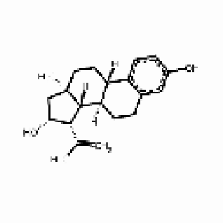 C=C(C)[C@H]1[C@H]2[C@@H]3CCc4cc(O)ccc4[C@H]3CC[C@]2(C)C[C@H]1O